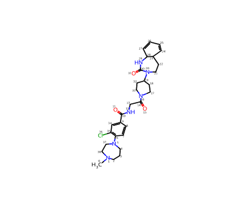 CN1CCCN(c2ccc(C(=O)NCC(=O)N3CCC(N4CCC5C=CC=CC5NC4=O)CC3)cc2Cl)CC1